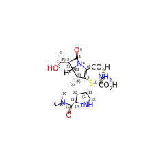 C[C@@H](O)[C@H]1C(=O)N2C(C(=O)O)=C(S[C@@H]3CN[C@H](C(=O)N(C)C)C3)[C@H](C)[C@H]12.NC(=O)O